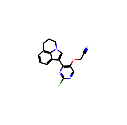 N#CCOc1cnc(Cl)nc1-c1cn2c3c(cccc13)CCC2